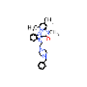 Cc1cc(C)nc(N(C)C(=O)c2nc3ccccc3n2CCN2CCN(Cc3ccccc3)CC2)c1